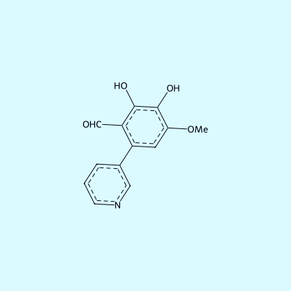 COc1cc(-c2cccnc2)c(C=O)c(O)c1O